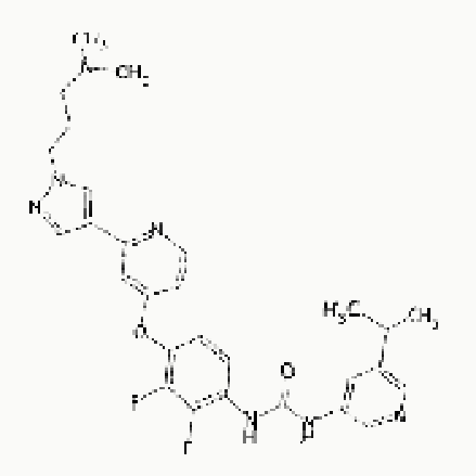 CC(C)c1cncc(NC(=O)Nc2ccc(Oc3ccnc(-c4cnn(CCCN(C)C)c4)c3)c(F)c2F)c1